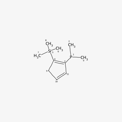 CP(C)C1=C([Si](C)(C)C)CC=C1